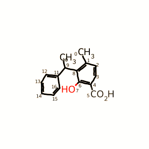 Cc1ccc(C(=O)O)c(O)c1C(C)c1ccccc1